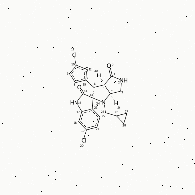 O=C1NC[C@@H]2[C@H]1C(c1ccc(Cl)s1)[C@]1(C(=O)Nc3cc(Cl)ccc31)N2CC1CC1